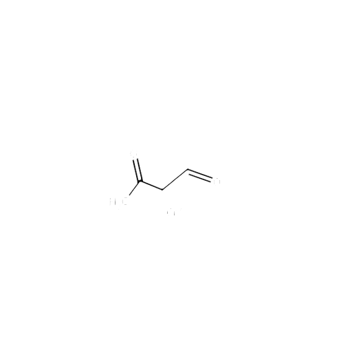 CC(=O)CC=O.[Cr+3]